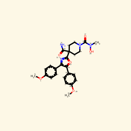 COc1ccc(-c2nc(C3(C(N)=O)CCN(C(=O)N(C)O)CC3)oc2-c2ccc(OC)cc2)cc1